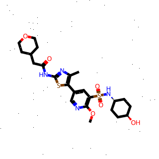 COc1ncc(-c2sc(NC(=O)CC3CCOCC3)nc2C)cc1S(=O)(=O)N[C@H]1CC[C@H](O)CC1